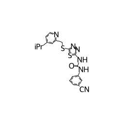 CC(C)c1ccnc(CSc2nnc(NC(=O)Nc3cccc(C#N)c3)s2)c1